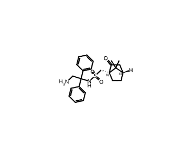 CC1(C)[C@H]2CC[C@@]1(CS(=O)(=O)NC(CN)(c1ccccc1)c1ccccc1)C(=O)C2